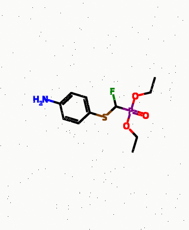 CCOP(=O)(OCC)C(F)Sc1ccc(N)cc1